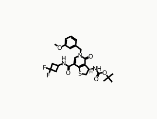 COc1cccc(Cn2cc(C(=O)NC3CC(F)(F)C3)c3c(c2=O)[C@@H](NC(=O)OC(C)(C)C)CS3)c1